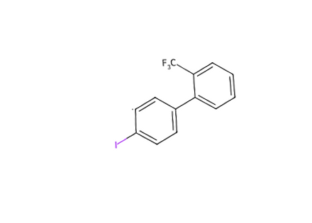 FC(F)(F)c1ccccc1-c1c[c]c(I)cc1